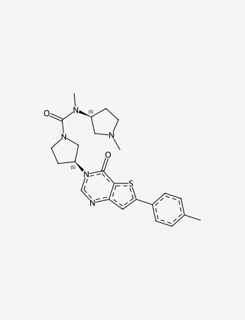 Cc1ccc(-c2cc3ncn([C@H]4CCN(C(=O)N(C)[C@H]5CCN(C)C5)C4)c(=O)c3s2)cc1